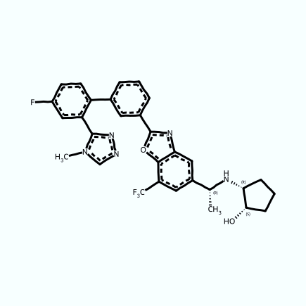 C[C@@H](N[C@@H]1CCC[C@@H]1O)c1cc(C(F)(F)F)c2oc(-c3cccc(-c4ccc(F)cc4-c4nncn4C)c3)nc2c1